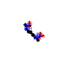 COCC[C@H](NC(=O)OC)C(=O)N[C@H](c1ncc(-c2ccc(-c3ccc4cc(-c5cnc([C@@H]6CC7(CC7)CN6C(=O)[C@@H](NC(=O)OC)C(C)C)[nH]5)ccc4c3)cc2)[nH]1)C1CCCC1